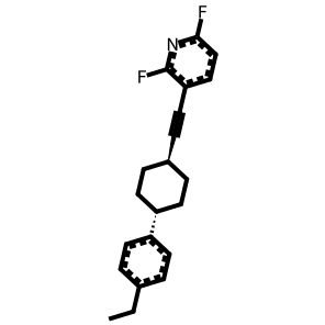 CCc1ccc([C@H]2CC[C@H](C#Cc3ccc(F)nc3F)CC2)cc1